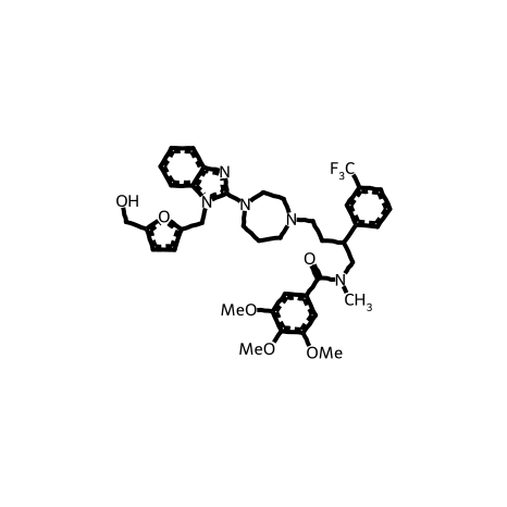 COc1cc(C(=O)N(C)CC(CCN2CCCN(c3nc4ccccc4n3Cc3ccc(CO)o3)CC2)c2cccc(C(F)(F)F)c2)cc(OC)c1OC